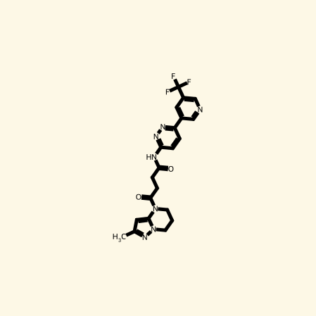 Cc1cc2n(n1)CCCN2C(=O)CCC(=O)Nc1ccc(-c2cncc(C(F)(F)F)c2)nn1